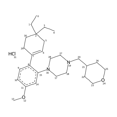 CCC1(CC)CC=C(c2ccc(OC)cc2N2CCN(CC3CCOCC3)CC2)CC1.Cl